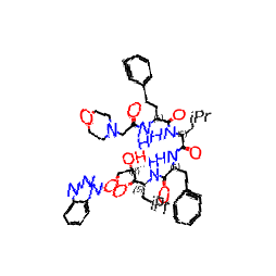 CC(C)C[C@H](NC(=O)[C@H](CCc1ccccc1)NC(=O)CN1CCOCC1)C(=O)N[C@@H](Cc1ccccc1)C(=O)N[C@@H](CC(C)C)C(=O)[C@](C)(O)COn1nnc2ccccc21